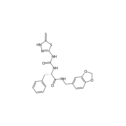 O=C(Nc1n[nH]c(=S)s1)N[C@@H](Cc1ccccc1)C(=O)NCc1ccc2c(c1)OCO2